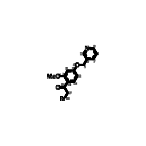 COc1cc(OCc2cccnc2)ccc1C(=O)CBr